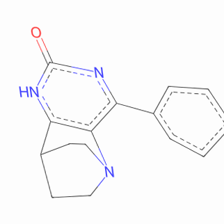 O=c1nc(-c2ccccc2)c2c([nH]1)C1CCN2CC1